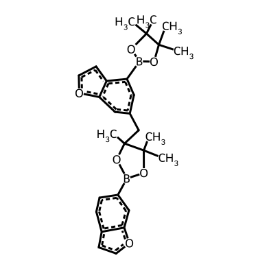 CC1(C)OB(c2cc(CC3(C)OB(c4ccc5ccoc5c4)OC3(C)C)cc3occc23)OC1(C)C